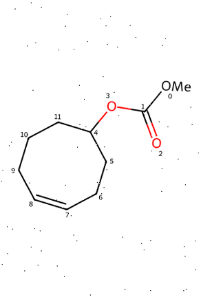 COC(=O)OC1CCC=CCCC1